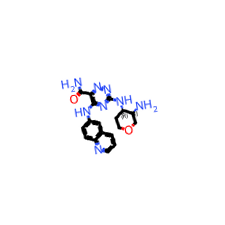 NC(=O)c1nnc(N[C@@H]2CCOC[C@@H]2N)nc1Nc1ccc2ncccc2c1